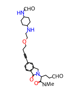 CNC(=O)C(CCC=O)N1Cc2cc(C#CCCOCCNC3CCC(NC=O)CC3)ccc2C1=O